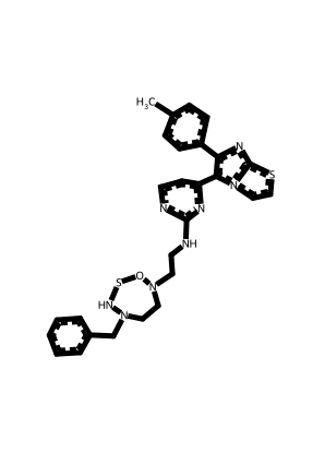 Cc1ccc(-c2nc3sccn3c2-c2ccnc(NCCN3CCN(Cc4ccccc4)NSO3)n2)cc1